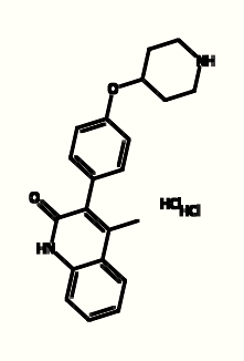 Cc1c(-c2ccc(OC3CCNCC3)cc2)c(=O)[nH]c2ccccc12.Cl.Cl